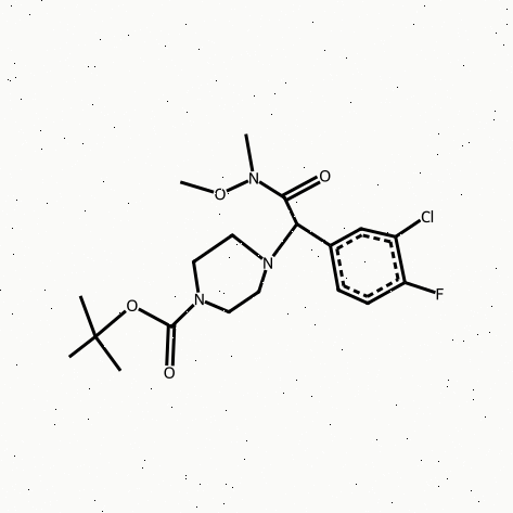 CON(C)C(=O)C(c1ccc(F)c(Cl)c1)N1CCN(C(=O)OC(C)(C)C)CC1